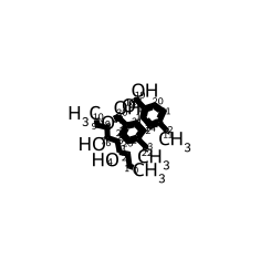 CCCC(O)CC(O)CCC.CCc1ccc(C(=O)O)cc1.CCc1ccc(C(=O)O)cc1